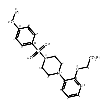 CCOC(=O)COc1ncccc1N1CCN(S(=O)(=O)c2ccc(OC(C)C)cc2)CC1